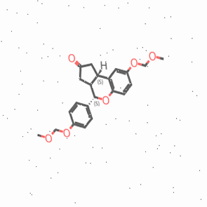 COCOc1ccc([C@H]2Oc3ccc(OCOC)cc3[C@H]3CC(=O)CC32)cc1